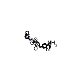 Nc1ccnc2cc(CN3CCN(S(=O)(=O)/C=C/c4ccc(Cl)s4)CC3=O)ccc12